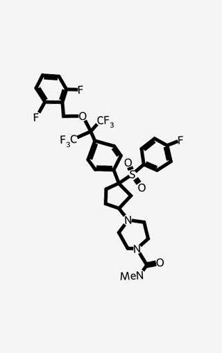 CNC(=O)N1CCN(C2CCC(c3ccc(C(OCc4c(F)cccc4F)(C(F)(F)F)C(F)(F)F)cc3)(S(=O)(=O)c3ccc(F)cc3)C2)CC1